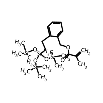 C=C(C)C(=O)OCc1ccccc1CC[Si](O[Si](C)(C)C)(O[Si](C)(C)C)O[Si](C)(C)C